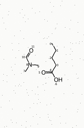 CCCCC(=O)O.CN(C)C=O